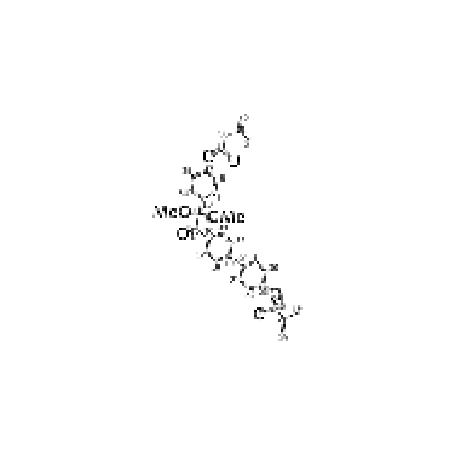 C=C(C)CC(=O)Oc1ccc(C(OC)(OC)C(=O)c2ccc(-c3ccc(OC(=O)C(=C)C)cc3)cc2)cc1